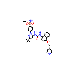 CCOS(=N)(=O)c1ccc(-n2nc(C(C)(C)C)cc2NC(=O)Nc2ccc(OCCc3ccncc3)c3ccccc23)cc1